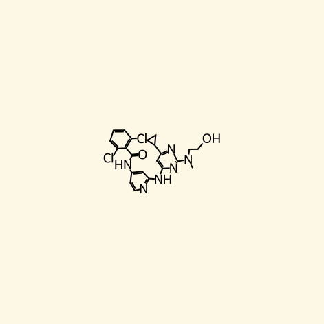 CN(CCO)c1nc(Nc2cc(NC(=O)c3c(Cl)cccc3Cl)ccn2)cc(C2CC2)n1